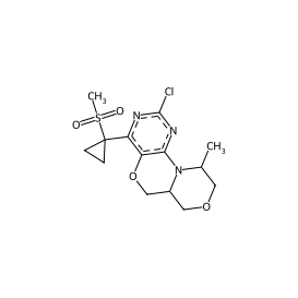 CC1COCC2COc3c(nc(Cl)nc3C3(S(C)(=O)=O)CC3)N12